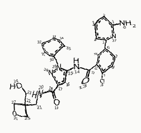 Nc1cccc(-c2ccc(Cl)c(C(=O)Nc3cc(C(=O)NCC4(CO)COC4)nn3-c3ccccc3)c2)n1